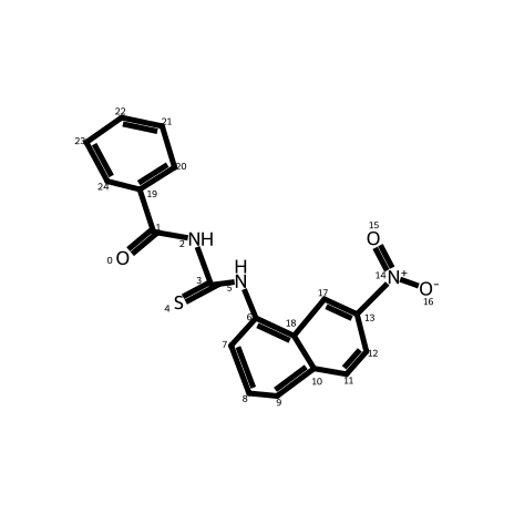 O=C(NC(=S)Nc1cccc2ccc([N+](=O)[O-])cc12)c1ccccc1